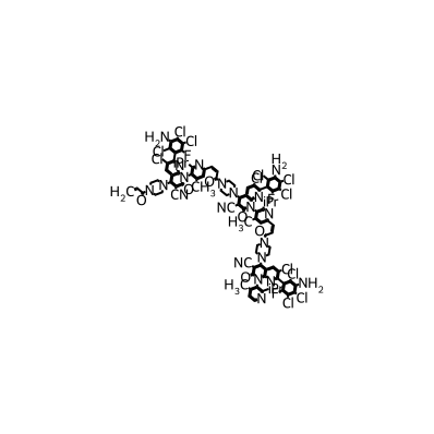 C=CC(=O)N1CCN(c2c(C#N)c(=O)n(-c3c(C)cc(/C=C\C(=O)N4CCN(c5c(C#N)c(=O)n(-c6c(C)cc(/C=C\C(=O)N7CCN(c8c(C#N)c(=O)n(-c9c(C)ccnc9C(C)C)c9nc(-c%10c(F)c(Cl)c(Cl)c(N)c%10Cl)c(Cl)cc89)CC7)nc6C(C)C)c6nc(-c7c(F)c(Cl)c(Cl)c(N)c7Cl)c(Cl)cc56)CC4)nc3C(C)C)c3nc(-c4c(F)c(Cl)c(Cl)c(N)c4Cl)c(Cl)cc23)CC1